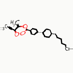 CC#CC(=O)C(C)OC(=O)c1ccc([C@H]2CC[C@H](CCCCCC)CC2)cc1